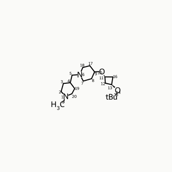 CN1CCC(CN2CCC(O[C@H]3C[C@H](OC(C)(C)C)C3)CC2)CC1